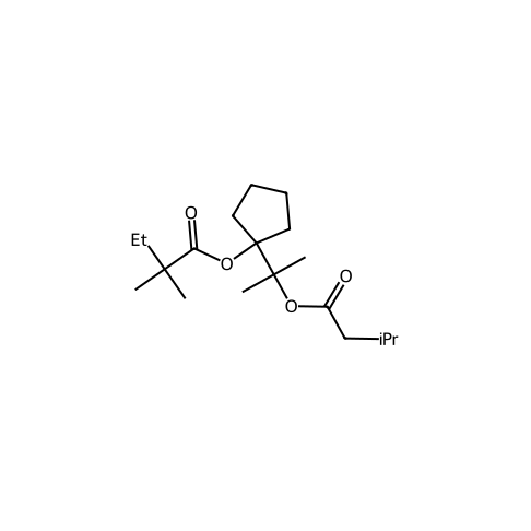 CCC(C)(C)C(=O)OC1(C(C)(C)OC(=O)CC(C)C)CCCC1